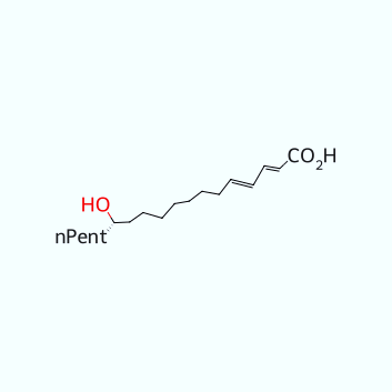 CCCCC[C@H](O)CCCCCCC/C=C/C=C/C(=O)O